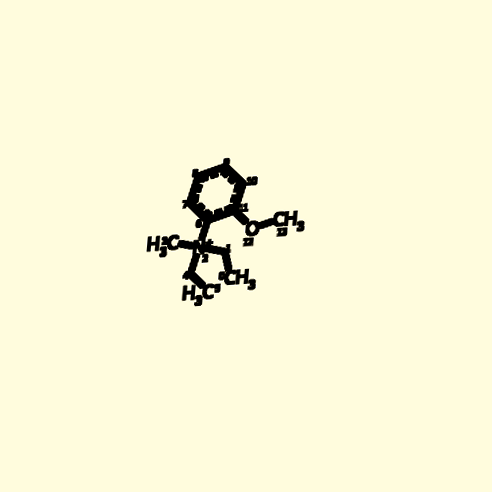 CC[N+](C)(CC)c1ccccc1OC